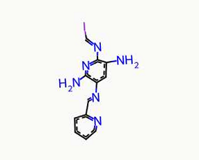 Nc1cc(/N=C/c2ccccn2)c(N)nc1/N=C/I